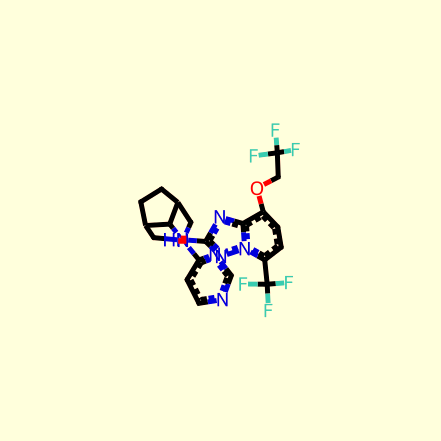 FC(F)(F)COc1ccc(C(F)(F)F)n2nc(NC3C4CCC3CN(c3ccncn3)C4)nc12